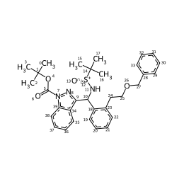 CC(C)(C)OC(=O)n1nc(C(N[S@+]([O-])C(C)(C)C)c2ccccc2CCOCc2ccccc2)c2ccccc21